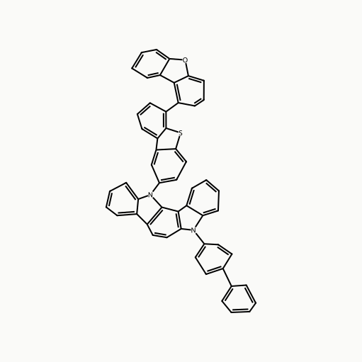 c1ccc(-c2ccc(-n3c4ccccc4c4c3ccc3c5ccccc5n(-c5ccc6sc7c(-c8cccc9oc%10ccccc%10c89)cccc7c6c5)c34)cc2)cc1